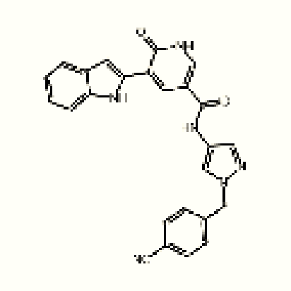 N#Cc1ccc(Cn2cc(NC(=O)c3c[nH]c(=O)c(-c4cc5ccccc5[nH]4)c3)cn2)cc1